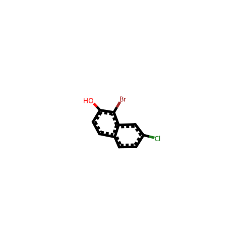 Oc1ccc2ccc(Cl)cc2c1Br